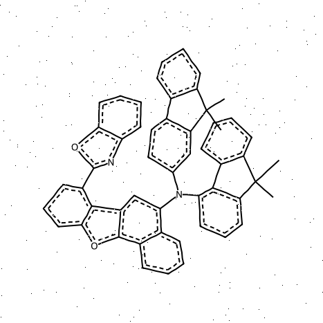 CC1(C)c2ccccc2-c2ccc(N(c3cccc4c3-c3ccccc3C4(C)C)c3cc4c(oc5cccc(-c6nc7ccccc7o6)c54)c4ccccc34)cc21